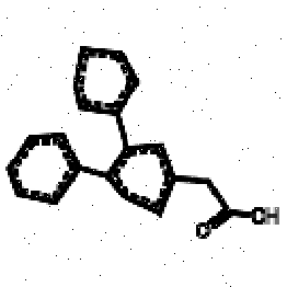 O=C(O)Cc1ccc(-c2ccccc2)c(-c2ccccc2)c1